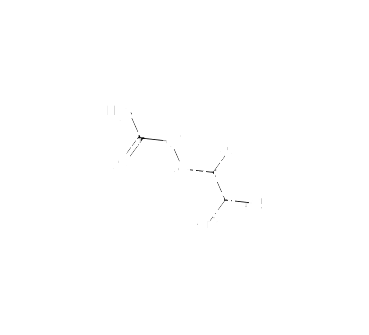 NC(=O)OOC(Cl)C(Cl)Cl